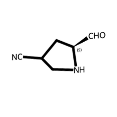 N#CC1CN[C@H](C=O)C1